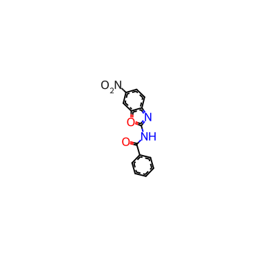 O=C(Nc1nc2ccc([N+](=O)[O-])cc2o1)c1ccccc1